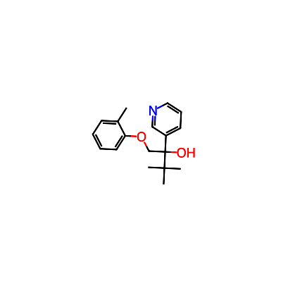 Cc1ccccc1OCC(O)(c1cccnc1)C(C)(C)C